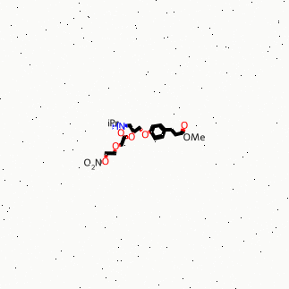 COC(=O)CCc1ccc(OCC(CNC(C)C)OC(=O)COCCO[N+](=O)[O-])cc1